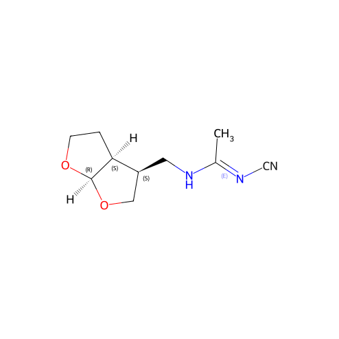 C/C(=N\C#N)NC[C@H]1CO[C@H]2OCC[C@@H]12